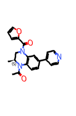 CC(=O)N1c2ccc(-c3ccncc3)cc2N(C(=O)c2ccco2)C[C@@H]1C